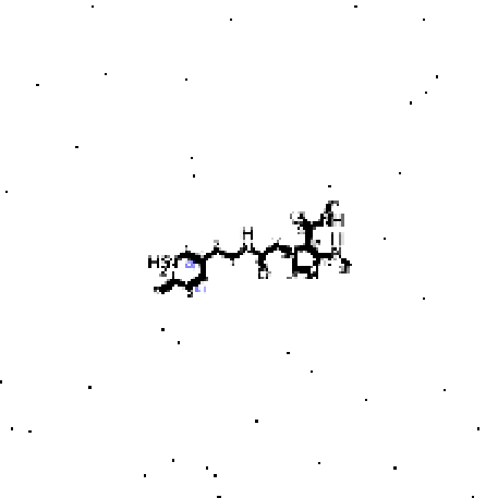 C=C/C=C\C(=C/N)CCNC(=O)Cn1cnc(NC)c1C(=O)NC